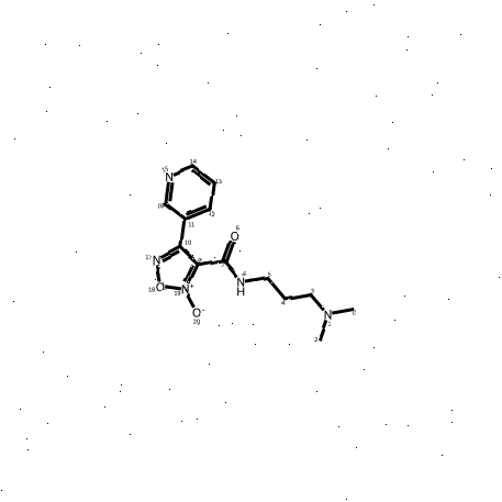 CN(C)CCCNC(=O)c1c(-c2cccnc2)no[n+]1[O-]